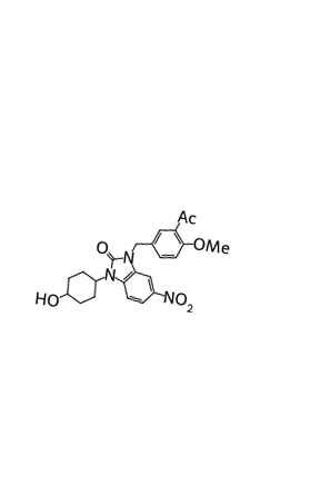 COc1ccc(Cn2c(=O)n(C3CCC(O)CC3)c3ccc([N+](=O)[O-])cc32)cc1C(C)=O